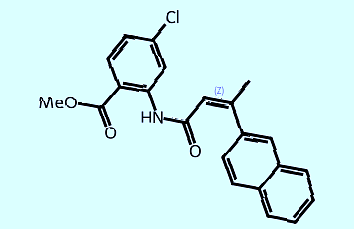 COC(=O)c1ccc(Cl)cc1NC(=O)/C=C(/C)c1ccc2ccccc2c1